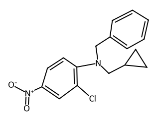 O=[N+]([O-])c1ccc(N(Cc2ccccc2)CC2CC2)c(Cl)c1